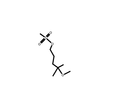 COC(C)(C)CCCOS(C)(=O)=O